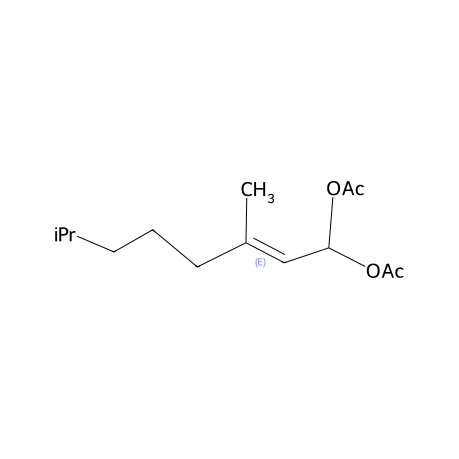 CC(=O)OC(/C=C(\C)CCCC(C)C)OC(C)=O